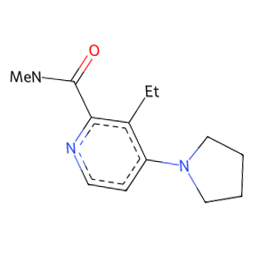 CCc1c(N2CCCC2)ccnc1C(=O)NC